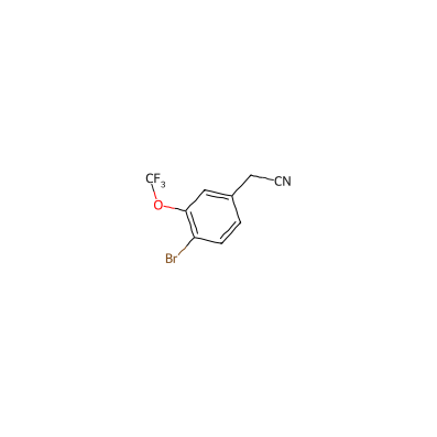 N#CCc1ccc(Br)c(OC(F)(F)F)c1